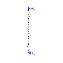 NCCCCCCCCCCCCCCCCCCCN